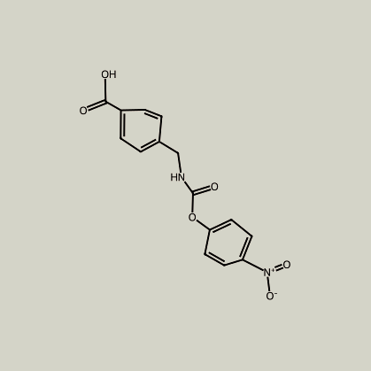 O=C(NCc1ccc(C(=O)O)cc1)Oc1ccc([N+](=O)[O-])cc1